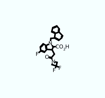 O=C(O)C1C(CC(=O)N2CC(F)(F)C2)c2cc(F)ccc2N1Cc1cccc2ccccc12